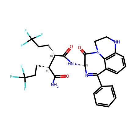 NC(=O)[C@H](CCC(F)(F)F)[C@H](CCC(F)(F)F)C(=O)N[C@H]1N=C(c2ccccc2)c2cccc3c2N(CCN3)C1=O